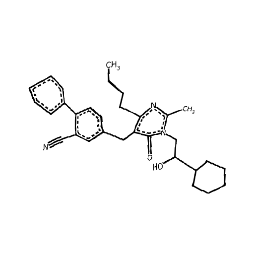 CCCCc1nc(C)n(CC(O)C2CCCCC2)c(=O)c1Cc1ccc(-c2ccccc2)c(C#N)c1